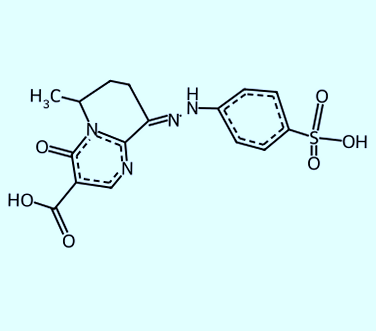 CC1CCC(=NNc2ccc(S(=O)(=O)O)cc2)c2ncc(C(=O)O)c(=O)n21